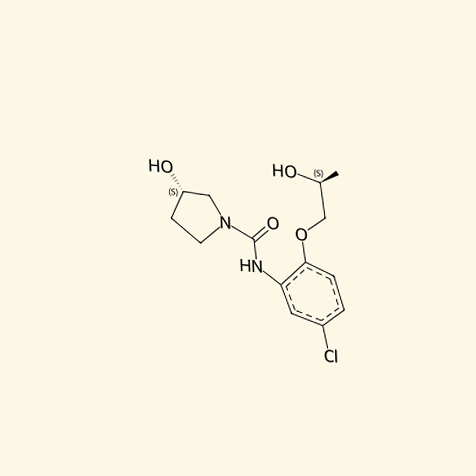 C[C@H](O)COc1ccc(Cl)cc1NC(=O)N1CC[C@H](O)C1